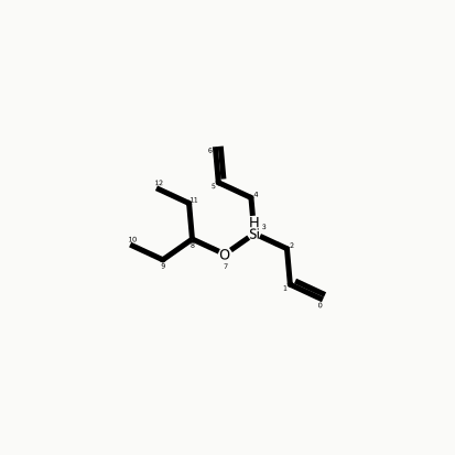 C=CC[SiH](CC=C)OC(CC)CC